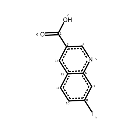 O=C(O)c1cnc2cc(I)ccc2c1